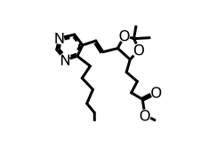 CCCCCCc1ncncc1/C=C/C1OC(C)(C)OC1CCCC(=O)OC